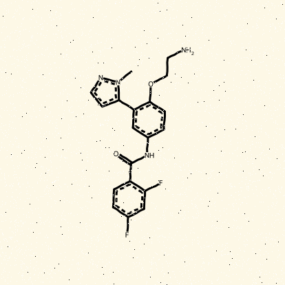 Cn1nccc1-c1cc(NC(=O)c2ccc(F)cc2F)ccc1OCCN